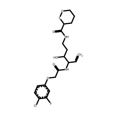 C=CC(NC(=O)COc1ccc(Cl)c(F)c1)C(O)CCNC(=O)C1CCCOS1